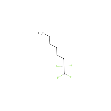 CCCCCCC(F)(F)[C](F)F